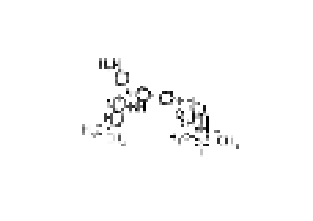 COC(=O)N[C@H](C(=O)N1CCC[C@H]1C(=O)Nc1ccc(-c2ccc(Sc3ccc(N)cc3)c(Nc3ncnc4nc(C(C)C)ccc34)c2)cc1)C(C)C